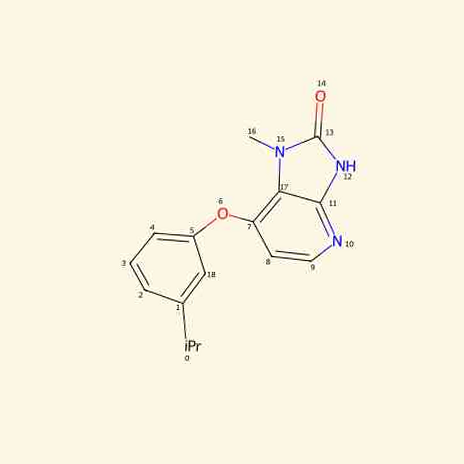 CC(C)c1cccc(Oc2ccnc3[nH]c(=O)n(C)c23)c1